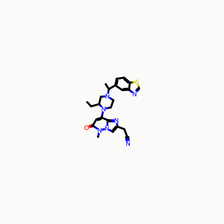 CCC1CN(C(C)c2ccc3scnc3c2)CCN1c1cc(=O)n(C)n2cc(CC#N)nc12